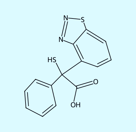 O=C(O)C(S)(c1ccccc1)c1cccc2snnc12